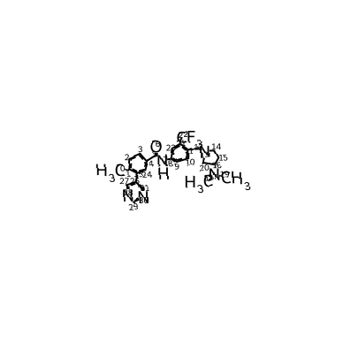 Cc1ccc(C(=O)Nc2ccc(CN3CC[C@H](N(C)C)C3)c(C(F)(F)F)c2)cc1-c1cncnc1